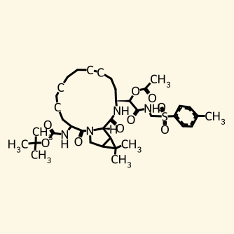 CC(=O)OC(C(=O)NCS(=O)(=O)c1ccc(C)cc1)[C@@H]1CCCCCCCCCCC(NC(=O)OC(C)(C)C)C(=O)N2CC3C([C@H]2C(=O)N1)C3(C)C